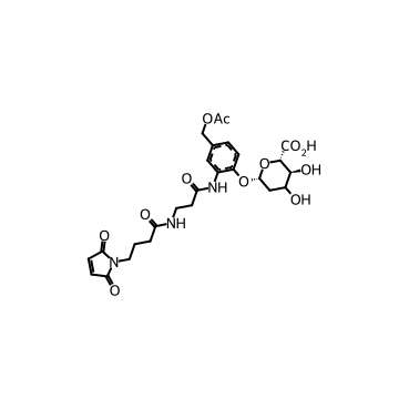 CC(=O)OCc1ccc(O[C@H]2CC(O)[C@H](O)[C@@H](C(=O)O)O2)c(NC(=O)CCNC(=O)CCCN2C(=O)C=CC2=O)c1